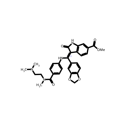 COC(=O)c1ccc2c(c1)NC(=O)/C2=C(\Nc1ccc(C(=O)N(C)CCN(C)C)cc1)c1ccc2c(c1)OCO2